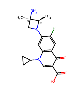 C[C@H]1N(c2cc3c(cc2F)c(=O)c(C(=O)O)cn3C2CC2)C[C@@]1(C)N